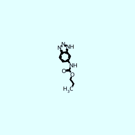 CCCOC(=O)Nc1ccc2nn[nH]c2c1